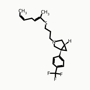 C/C=C\CC=C(C)SCCCN1C[C@@H]2C[C@]2(c2ccc(C(F)(F)F)cc2)C1